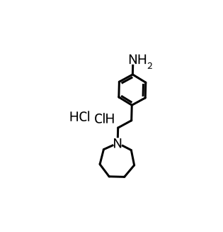 Cl.Cl.Nc1ccc(CCN2CCCCCC2)cc1